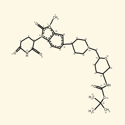 Cn1c(=O)n(C2CCC(=O)NC2=O)c2ccc(C3CCN(CC4CCC(NC(=O)OC(C)(C)C)CO4)CC3)cc21